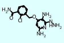 NNc1nc(N)cc(OCc2cccc(C(N)=O)c2Cl)c1N